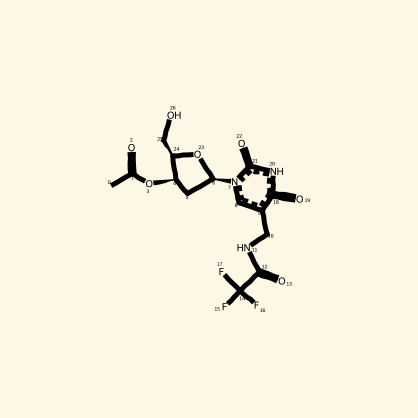 CC(=O)O[C@@H]1C[C@H](n2cc(CNC(=O)C(F)(F)F)c(=O)[nH]c2=O)O[C@@H]1CO